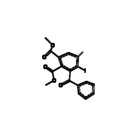 COC(=O)c1cc(C)c(I)c(C(=O)c2ccccc2)c1C(=O)OC